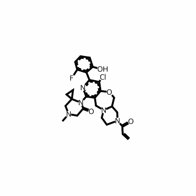 C=CC(=O)N1CCN2Cc3c(N4C(=O)CN(C)CC45CC5)nc(-c4c(O)cccc4F)c(Cl)c3OCC2C1